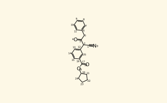 N#CC(C(=O)Cc1ccccc1)c1cccc(C(=O)OC2CCCC2)c1